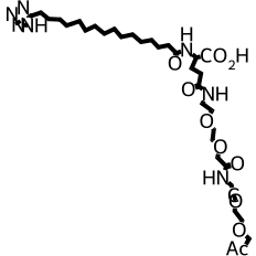 CC(=O)COCCOCCNC(=O)COCCOCCNC(=O)CCC(NC(=O)CCCCCCCCCCCCCCCc1nnn[nH]1)C(=O)O